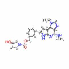 CNc1nc2[nH]c(-c3cccc(COC(=O)N4CCC(O)C4)c3)cc2c2c1ncn2C